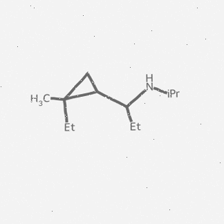 CCC(NC(C)C)C1CC1(C)CC